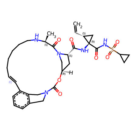 C=C[C@@H]1C[C@]1(NC(=O)[C@@H]1C[C@@H]2CN1C(=O)[C@H](C)NCCCCC/C=C/c1cccc3c1CN(C3)C(=O)O2)C(=O)NS(=O)(=O)C1CC1